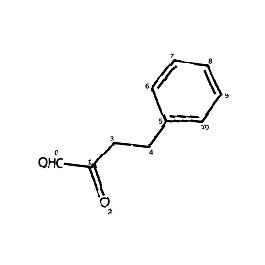 O=CC(=O)CCc1[c]cccc1